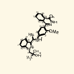 COc1cc(NC(=N)c2nn(CC(C)(C)O)c3ccccc23)ccc1-c1n[nH]c(=O)c2ccccc12